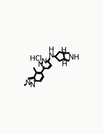 Cc1c(-c2ccc(NC3C[C@H]4CNC[C@H]4C3)nn2)ccc2nn(C)cc12.Cl